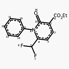 CCOC(=O)c1ccc(C(F)F)n(-c2ccccc2)c1=O